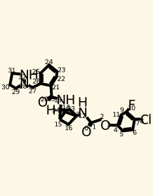 O=C(COc1ccc(Cl)c(F)c1)NC12CC(C1)[C@@H](NC(=O)c1ccccc1CN1CCCN1)C2